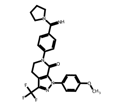 COc1ccc(-n2nc(C(F)(F)F)c3c2C(=O)N(c2ccc(C(=N)N4CCCC4)cc2)CC3)cc1